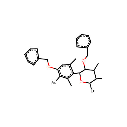 CCC1OC(c2c(C)cc(OCc3ccccc3)c(C(C)=O)c2C)C(OCc2ccccc2)C(C)C1C